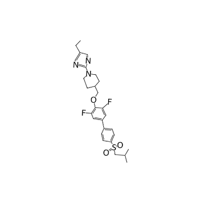 CCc1cnc(N2CCC(COc3c(F)cc(-c4ccc(S(=O)(=O)CC(C)C)cc4)cc3F)CC2)nc1